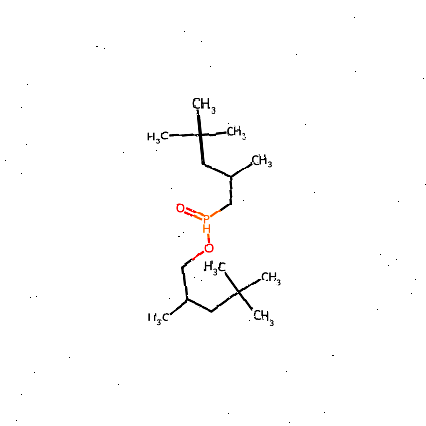 CC(CO[PH](=O)CC(C)CC(C)(C)C)CC(C)(C)C